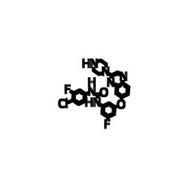 O=C(Nc1cc(F)cc(Oc2ccc3ncc(N4CCNCC4)nc3c2)c1)Nc1ccc(Cl)c(F)c1